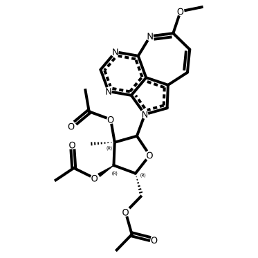 COC1=Nc2ncnc3c2c(cn3C2O[C@H](COC(C)=O)[C@@H](OC(C)=O)[C@@]2(C)OC(C)=O)C=C1